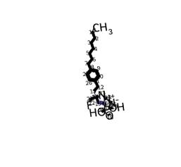 CCCCCCCCc1ccc(CC[C@](/C=C/P(=O)(O)O)(CF)N=[N+]=[N-])cc1